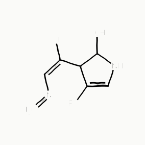 C=N/C=C(/C)C1C(CC)=CNC1C